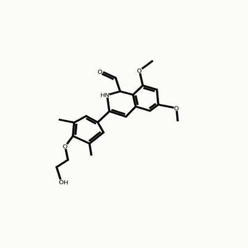 COc1cc2c(c(OC)c1)C(C=O)NC(c1cc(C)c(OCCO)c(C)c1)=C2